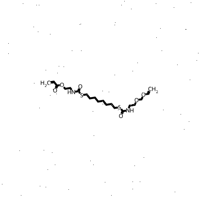 C=COCOCCNC(=O)SCCCCCCCCSC(=O)NCCOC(=O)C=C